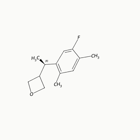 Cc1cc(C)c([C@H](C)C2COC2)cc1F